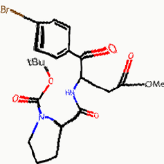 COC(=O)CC(NC(=O)C1CCCN1C(=O)OC(C)(C)C)C(=O)c1ccc(Br)cc1